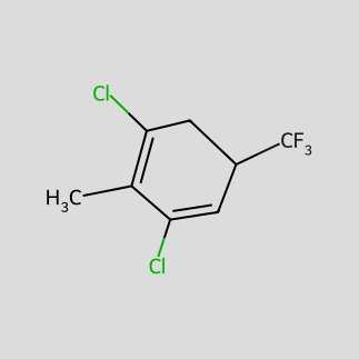 CC1=C(Cl)CC(C(F)(F)F)C=C1Cl